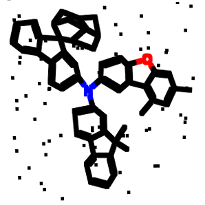 Cc1cc(C)c2c(c1)oc1ccc(N(c3ccc4c(c3)C(C)(C)c3ccccc3-4)c3ccc4c(c3)C3(c5ccccc5-4)C4CC5CC(C4)CC3C5)cc12